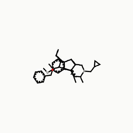 CCCC(C1CCC2(C)C(C)N(CC3CC3)CC3Cc4ccc(OC)cc4C312)N(C)Cc1ccccc1